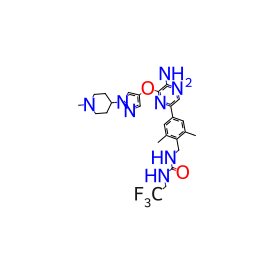 Cc1cc(-c2cnc(N)c(Oc3cnn(C4CCN(C)CC4)c3)n2)cc(C)c1CNC(=O)NCC(F)(F)F